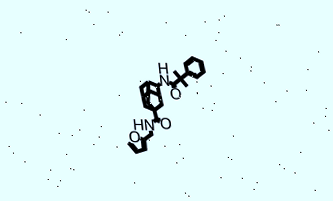 CC(C)(C(=O)NC1C2CC3CC1CC(C(=O)NCc1ccco1)(C3)C2)c1ccccc1